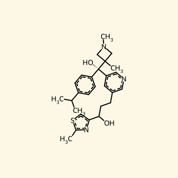 Cc1nc(C(O)CCc2cncc([C@@](O)(c3ccc(C(C)C)cc3)C3(C)CN(C)C3)c2)cs1